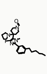 CCCCCCc1cccc(-c2nc(I)c(C3(N4CCCC4)CCN(C=O)CC3)n2C)c1